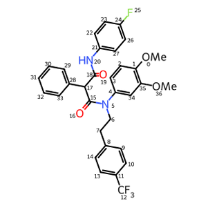 COc1ccc(N(CCc2ccc(C(F)(F)F)cc2)C(=O)C(C(=O)Nc2ccc(F)cc2)c2ccccc2)cc1OC